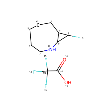 FC1C2CCCCCNC12.O=C(O)C(F)(F)F